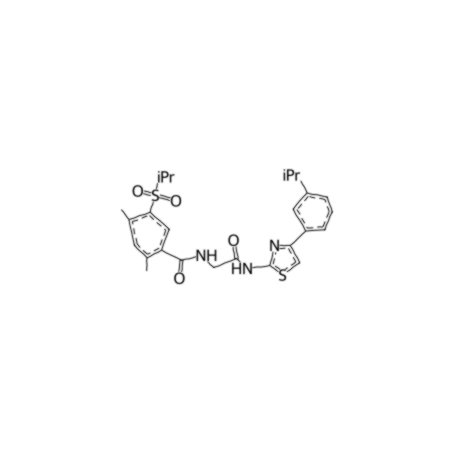 Cc1cc(C)c(S(=O)(=O)C(C)C)cc1C(=O)NCC(=O)Nc1nc(-c2cccc(C(C)C)c2)cs1